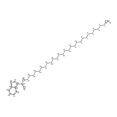 CCCCCCCCCCCCCCCCCCCCCCCCCCCCOC(=O)c1csc2ccccc12